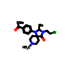 COC(=O)c1ccc(N2C(C(C)(C)C)N(CCBr)C(=O)C23CCN(C(=O)O)CC3)cc1